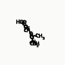 CCCc1cc(C(CC)=NO)ccc1OCCCSc1ccc(CC(=O)O)cc1Cl